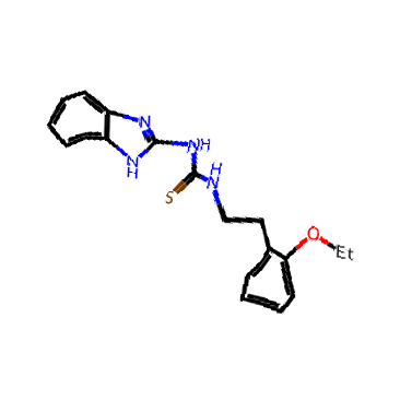 CCOc1ccccc1CCNC(=S)Nc1nc2ccccc2[nH]1